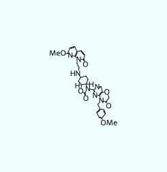 COc1ccc(CN2C(=O)COc3cnc(N4C(=O)O[C@H]5C[C@@H](NCCn6c(=O)ccc7ccc(OC)nc76)CC[C@@H]54)nc32)cc1